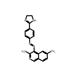 Cc1ccc2cnc(N)c(/N=N/c3ccc(C4=NCCN4)cc3)c2c1